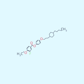 CCCCCC1CCC(CCCOc2ccc(OC(=O)c3ccc(OCC)c(F)c3)cc2)CC1